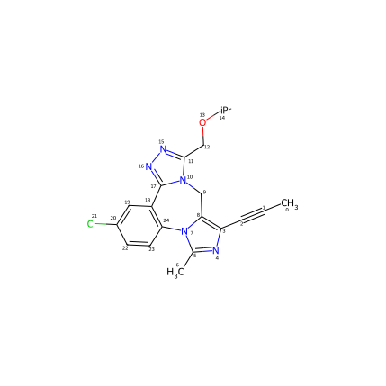 CC#Cc1nc(C)n2c1Cn1c(COC(C)C)nnc1-c1cc(Cl)ccc1-2